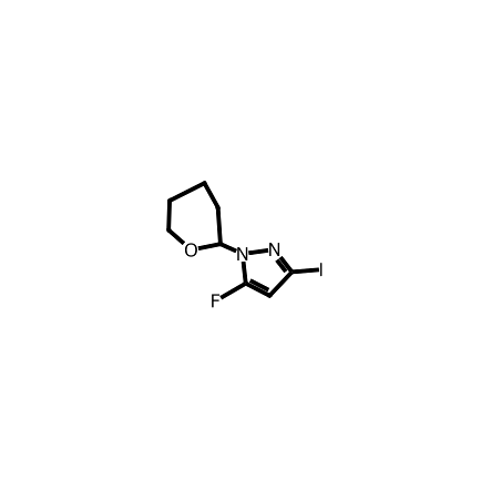 Fc1cc(I)nn1C1CCCCO1